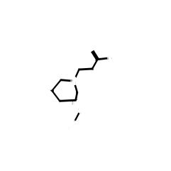 CC[C@@H]1CCCN(CCC(N)=O)C1